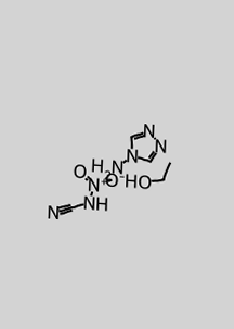 CCO.N#CN[N+](=O)[O-].Nn1cnnc1